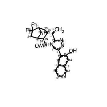 C=C(c1ncc(-c2cc3ccncc3cc2O)nn1)[C@H]1CC2NC(CC2(F)F)[C@@H]1OC